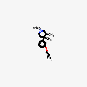 C=CCOc1cccc(C2(C)CCN(CCCCCC)CC2C)c1